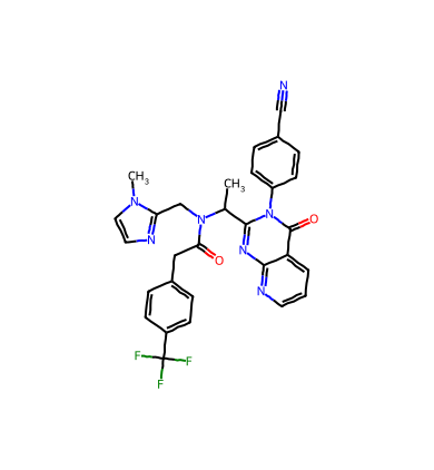 CC(c1nc2ncccc2c(=O)n1-c1ccc(C#N)cc1)N(Cc1nccn1C)C(=O)Cc1ccc(C(F)(F)F)cc1